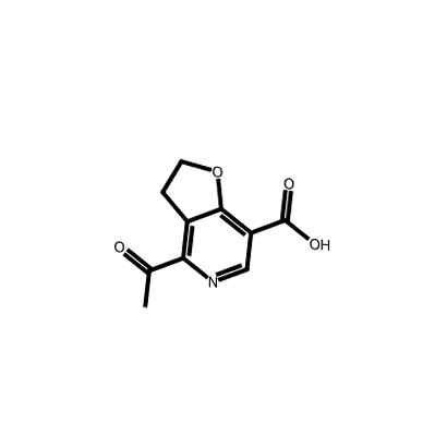 CC(=O)c1ncc(C(=O)O)c2c1CCO2